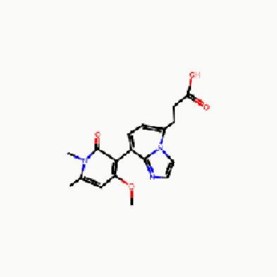 COc1cc(C)n(C)c(=O)c1-c1ccc(CCC(=O)O)n2ccnc12